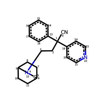 N#CC(CCN1CC2CCC(CC2)C1)(c1ccccc1)c1ccncc1